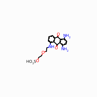 Nc1ccc(N)c2c1C(=O)c1cccc(NCCOCCOS(=O)(=O)O)c1C2=O